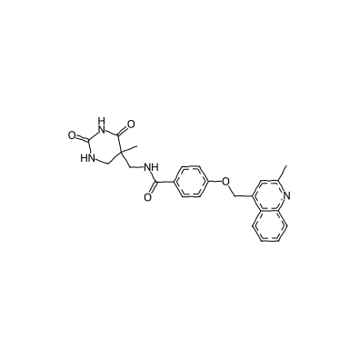 Cc1cc(COc2ccc(C(=O)NCC3(C)CNC(=O)NC3=O)cc2)c2ccccc2n1